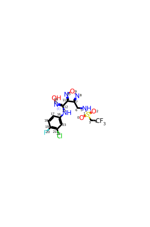 O=S(=O)(CC(F)(F)F)NCc1nonc1/C(=N\O)Nc1ccc(F)c(Cl)c1